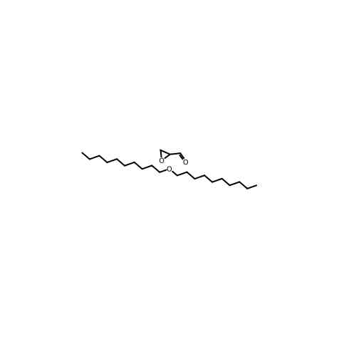 CCCCCCCCCCOCCCCCCCCCC.O=CC1CO1